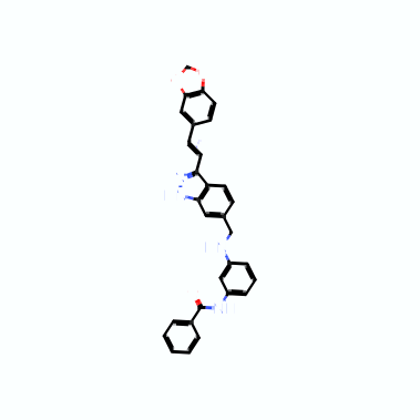 O=C(Nc1cccc(NCc2ccc3c(/C=C/c4ccc5c(c4)OCO5)n[nH]c3c2)c1)c1ccccc1